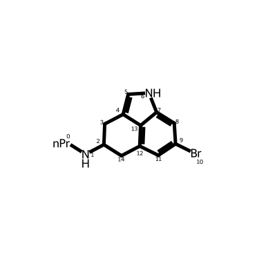 CCCNC1Cc2c[nH]c3cc(Br)cc(c23)C1